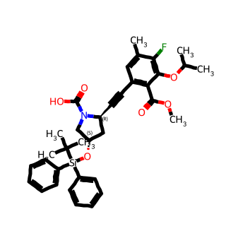 COC(=O)c1c(C#C[C@H]2C[C@H](O[Si](c3ccccc3)(c3ccccc3)C(C)(C)C)CN2C(=O)O)cc(C)c(F)c1OC(C)C